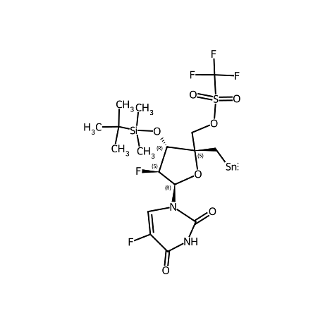 CC(C)(C)[Si](C)(C)O[C@H]1[C@H](F)[C@H](n2cc(F)c(=O)[nH]c2=O)O[C@@]1([CH2][Sn])COS(=O)(=O)C(F)(F)F